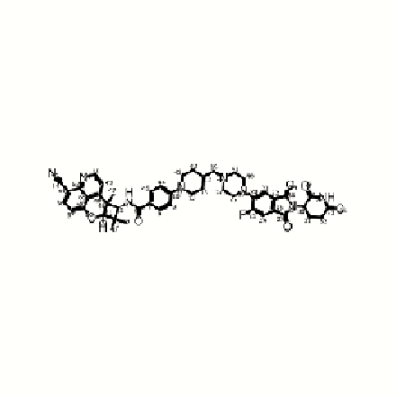 CC1(C)[C@H](NC(=O)c2ccc(N3CCC(CN4CCN(c5cc6c(cc5F)C(=O)N(C5CCC(=O)NC5=O)C6=O)CC4)CC3)cc2)C2(C)c3ccnc4c(C#N)ccc(c34)O[C@@H]12